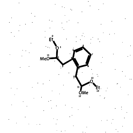 CCOC(Cc1[c]cccc1CC(OC)OCC)OC